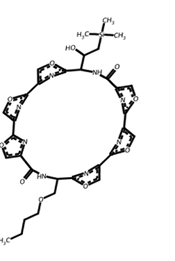 CCCCOCC1NC(=O)c2coc(n2)-c2coc(n2)-c2coc(n2)C(C(O)C[Si](C)(C)C)NC(=O)c2coc(n2)-c2coc(n2)-c2coc1n2